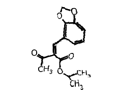 CC(=O)C(=Cc1cccc2c1OCO2)C(=O)OC(C)C